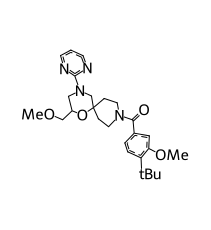 COCC1CN(c2ncccn2)CC2(CCN(C(=O)c3ccc(C(C)(C)C)c(OC)c3)CC2)O1